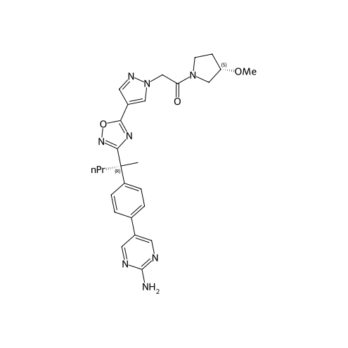 CCC[C@](C)(c1ccc(-c2cnc(N)nc2)cc1)c1noc(-c2cnn(CC(=O)N3CC[C@H](OC)C3)c2)n1